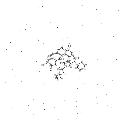 N#Cc1cnc2c(Cl)cc(N[C@H](C3=CN(C4CC5(CNC5)C4)NN3)c3ccccc3)cc2c1Nc1ccc(F)c(Cl)c1